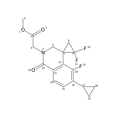 COC(=O)CN1CC2(CC2(F)F)c2c(ccc(C3CC3)c2F)C1=O